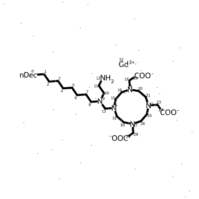 CCCCCCCCCCCCCCCCCCN(CCN)CN1CCN(CC(=O)[O-])CCN(CC(=O)[O-])CCN(CC(=O)[O-])CC1.[Gd+3]